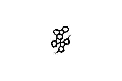 BrC1=CC2C(C=C1)c1ccc(Br)cc1C21C2=CC3=C4C(=CCCC4C2c2ccccc21)C1=C3CCC=C1